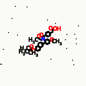 COc1ccc([C@@H]2CCc3cc(OC(=O)C(C)(C)C)ccc3C2)c(N(CC(C)=O)C(=O)c2ccc(CC(=O)O)cc2)c1